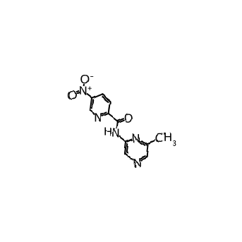 Cc1cncc(NC(=O)c2ccc([N+](=O)[O-])cn2)n1